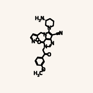 COc1cccc(C(=O)Cn2cnc3c(C#N)c(N4CCC[C@@H](N)C4)n(Cc4ccno4)c3c2=O)c1